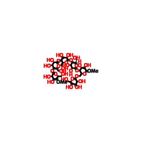 CO[C@H]1OC(CO[C@H]2OC(CO)[C@H](O)[C@H](O)C2O)C(O[C@@H]2O[C@@H](CO)[C@@H](O[C@@H]3OC(CO)[C@@H](O[C@@H]4O[C@@H](CO)[C@@H](O[C@@H]5OC(CO)[C@@H](OC)[C@H](O)C5O)C(O)C4O)[C@H](O)C3O)C(O)C2O)C(O)[C@H]1O